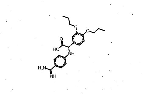 CCCOc1ccc(C(Nc2ccc(C(=N)N)cc2)C(=O)O)cc1OCCC